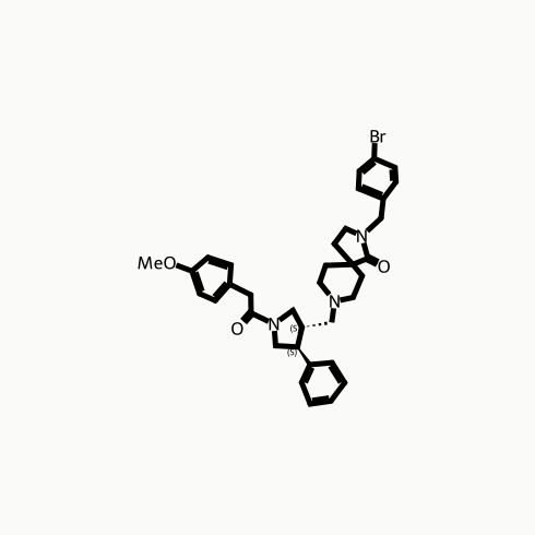 COc1ccc(CC(=O)N2C[C@H](CN3CCC4(CC3)CCN(Cc3ccc(Br)cc3)C4=O)[C@@H](c3ccccc3)C2)cc1